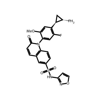 COc1cc([C@H]2C[C@@H]2P)c(F)cc1-n1c(=O)ccc2cc(S(=O)(=O)Nc3ccon3)ccc21